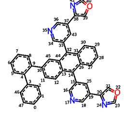 c1ccc(-c2ccccc2-c2ccc3c(-c4cncc(-c5cocn5)c4)c4ccccc4c(-c4cncc(-c5cocn5)c4)c3c2)cc1